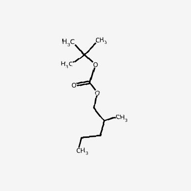 CCCC(C)COC(=O)OC(C)(C)C